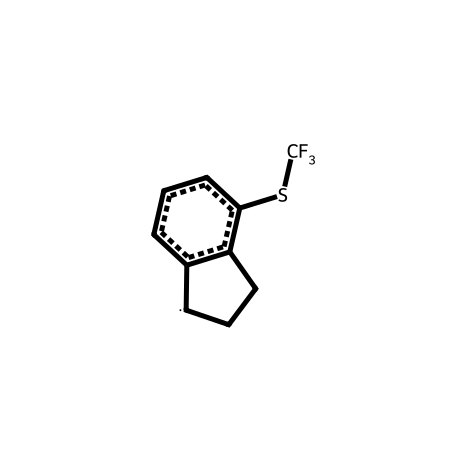 FC(F)(F)Sc1cccc2c1CC[CH]2